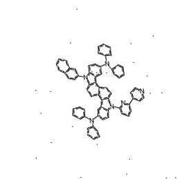 c1ccc(N(c2ccccc2)c2ccc3c(c2)c2c4ccc5c(c4ccc2n3-c2ccc3ccccc3c2)c2cc(N(c3ccccc3)c3ccccc3)ccc2n5-c2cccc(-c3ccncc3)n2)cc1